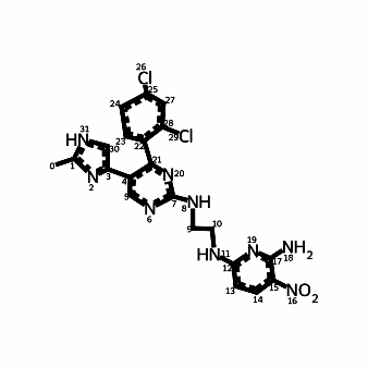 Cc1nc(-c2cnc(NCCNc3ccc([N+](=O)[O-])c(N)n3)nc2-c2ccc(Cl)cc2Cl)c[nH]1